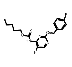 CCCCCOC(=S)Nc1nc(OCc2ccc(F)cc2)ncc1F